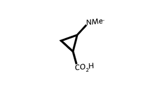 C[N]C1CC1C(=O)O